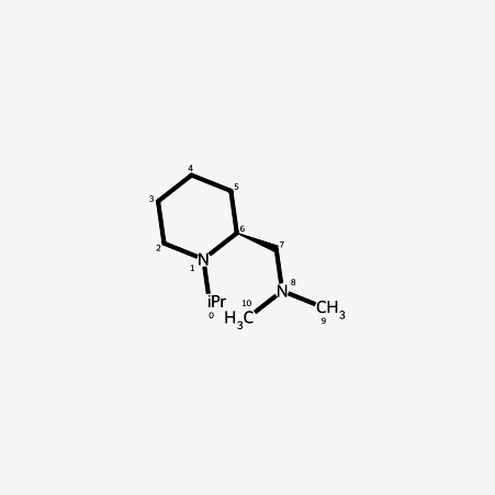 CC(C)N1CCCC[C@H]1CN(C)C